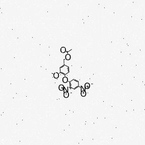 COc1cc(COC(C)=O)ccc1Oc1ccc([N+](=O)[O-])cc1[N+](=O)[O-]